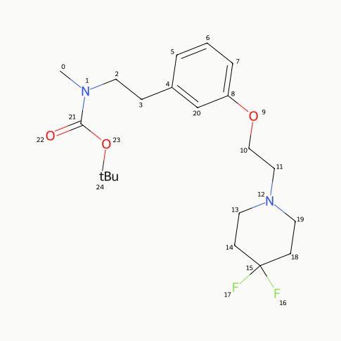 CN(CCc1cccc(OCCN2CCC(F)(F)CC2)c1)C(=O)OC(C)(C)C